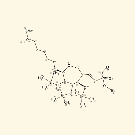 CCOP(=O)(/C=C/C1CO[C@H](OCCCCCC(=O)OC)C(O[Si](C)(C)C)C(O[Si](C)(C)C)[C@@H]1O[Si](C)(C)C)OCC